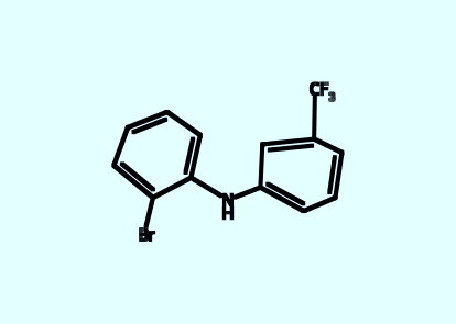 FC(F)(F)c1cccc(Nc2ccccc2Br)c1